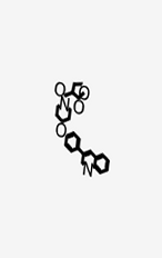 O=C1OCCC1C(=O)N1CCC(Oc2ccc(-c3cnc4ccccc4c3)cc2)CC1